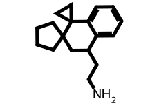 NCCC1CC2(CCCC2)C2(CC2)c2ccccc21